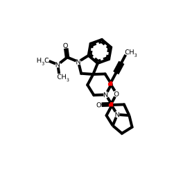 CC#CCOC(=O)N1C2CCC1CC(N1CCC3(CC1)CN(C(=O)N(C)C)c1ccccc13)C2